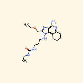 CCNC(=O)NCCCNn1c(COCC)nc2c(N)nc3c(c21)CCCC3